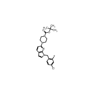 CC(C)(C)OC(=O)N1CCN(c2ccc3ccn(Cc4ccc(Cl)cc4F)c3n2)CC1